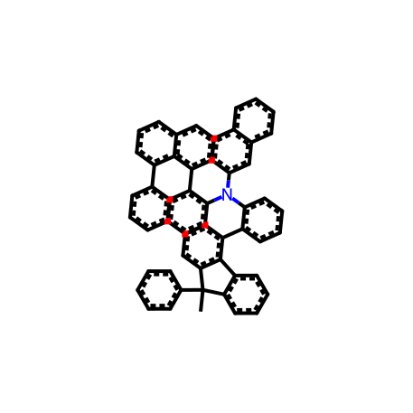 CC1(c2ccccc2)c2ccccc2-c2c(-c3ccccc3N(c3ccc4ccccc4c3)c3ccccc3-c3cccc4cccc(-c5ccccc5)c34)cccc21